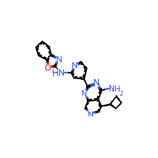 Nc1nc(-c2ccnc(Nc3nc4ccccc4o3)c2)nc2cncc(C3CCC3)c12